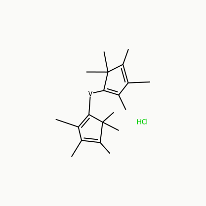 CC1=C(C)C(C)(C)[C]([V][C]2=C(C)C(C)=C(C)C2(C)C)=C1C.Cl